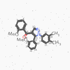 COc1ccccc1C(=O)c1cnn(-c2ccc(C)c(C)c2)c1-c1ccccc1OC